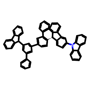 c1ccc(-c2cc(-c3ccc([C@@H]4c5ccccc5-c5cc(-n6c7ccccc7c7ccccc76)ccc54)c(-c4ccccc4)c3)cc(C3c4ccccc4-c4ccccc43)c2)cc1